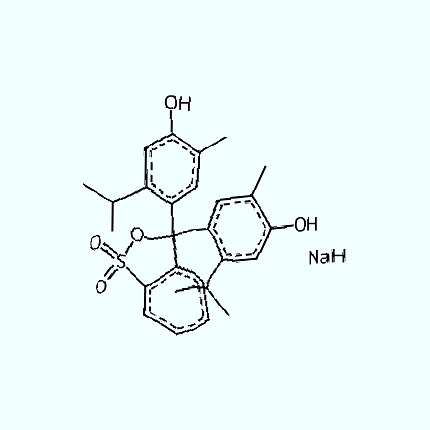 Cc1cc(C2(c3cc(C)c(O)cc3C(C)C)OS(=O)(=O)c3ccccc32)c(C(C)C)cc1O.[NaH]